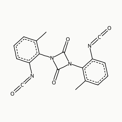 Cc1cccc(N=C=O)c1N1C(=O)N(c2c(C)cccc2N=C=O)C1=O